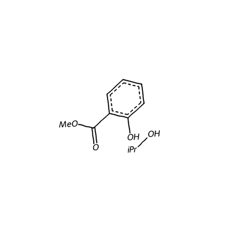 CC(C)O.COC(=O)c1ccccc1O